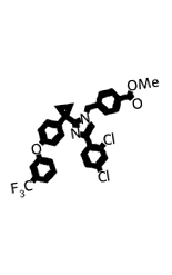 COC(=O)c1ccc(Cn2cc(-c3ccc(Cl)cc3Cl)nc2C2(c3ccc(Oc4cccc(C(F)(F)F)c4)cc3)CC2)cc1